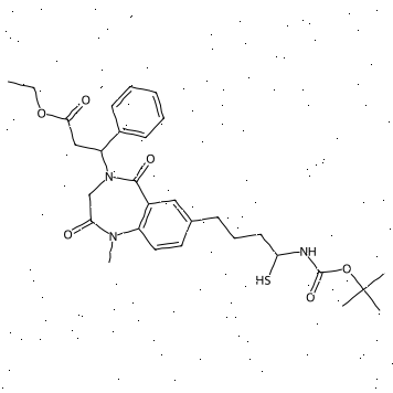 CCOC(=O)CC(c1ccccc1)N1CC(=O)N(C)c2ccc(CCCC(S)NC(=O)OC(C)(C)C)cc2C1=O